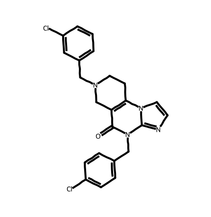 O=c1c2c(n3ccnc3n1Cc1ccc(Cl)cc1)CCN(Cc1cccc(Cl)c1)C2